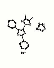 Cc1nc(-n2nc(-c3ccccc3)n[n+]2-c2ccccc2)sc1C.[Br-].c1nnn[nH]1